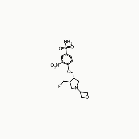 NS(=O)(=O)c1ccc(OC[C@@H]2CN(C3COC3)C[C@H]2CF)c([N+](=O)[O-])c1